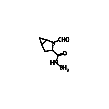 BNC(=O)C1CC2CC2N1C=O